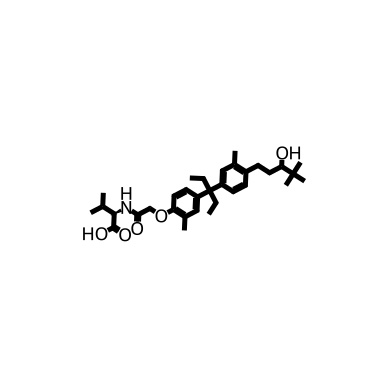 CCC(CC)(c1ccc(CCC(O)C(C)(C)C)c(C)c1)c1ccc(OCC(=O)N[C@@H](C(=O)O)C(C)C)c(C)c1